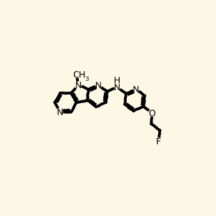 Cn1c2ccncc2c2ccc(Nc3ccc(OCCF)cn3)nc21